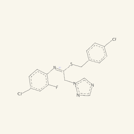 Fc1cc(Cl)ccc1/N=C(\Cn1cncn1)SCc1ccc(Cl)cc1